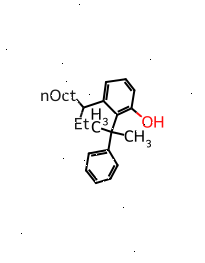 CCCCCCCCC(CC)c1cccc(O)c1C(C)(C)c1ccccc1